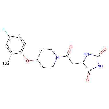 CC(C)(C)c1cc(F)ccc1OC1CCN(C(=O)CC2NC(=O)NC2=O)CC1